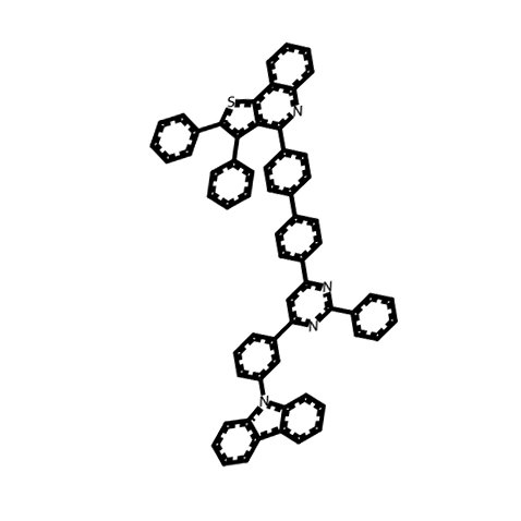 c1ccc(-c2nc(-c3ccc(-c4ccc(-c5nc6ccccc6c6sc(-c7ccccc7)c(-c7ccccc7)c56)cc4)cc3)cc(-c3cccc(-n4c5ccccc5c5ccccc54)c3)n2)cc1